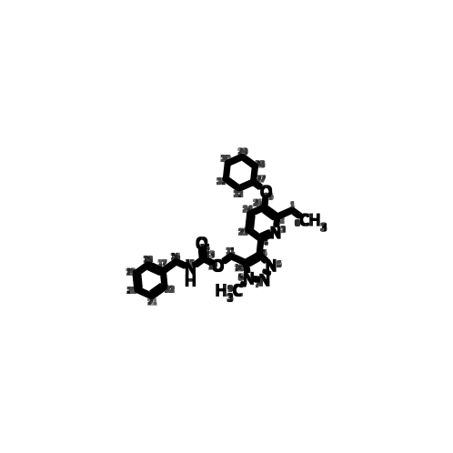 CCc1nc(-c2nnn(C)c2COC(=O)NCc2ccccc2)ccc1OC1CCCCC1